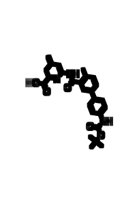 C=C1C=C(NC(=O)c2cc(-c3ccc(NC(=O)OC(C)(C)C)cc3)ccc2C)N=C(C(=O)O)C1